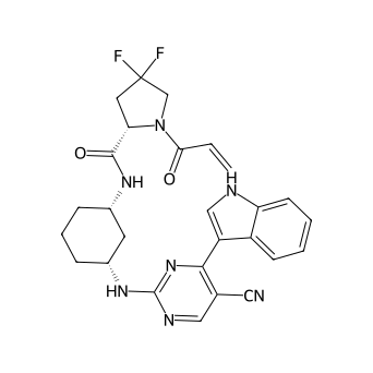 C=CC(=O)N1CC(F)(F)C[C@H]1C(=O)N[C@H]1CCC[C@@H](Nc2ncc(C#N)c(-c3c[nH]c4ccccc34)n2)C1